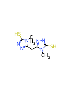 Cn1c(S)nnc1Cc1nnc(S)n1C